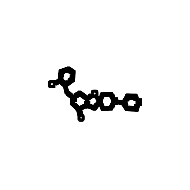 O=C1CN(Cc2ccccc2Cl)CC2OC3(CCN(c4ccncc4)CC3)CN12